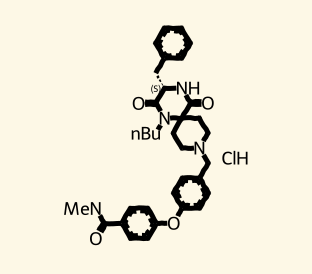 CCCCN1C(=O)[C@H](Cc2ccccc2)NC(=O)C12CCN(Cc1ccc(Oc3ccc(C(=O)NC)cc3)cc1)CC2.Cl